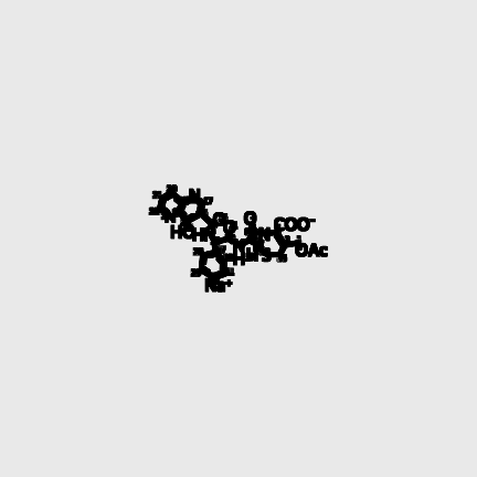 CC(=O)OCC1=C(C(=O)[O-])N2C(=O)C(NC(=O)C(NC(=O)c3cnc4cccnc4c3O)c3ccccc3)[C@@H]2SC1.[Na+]